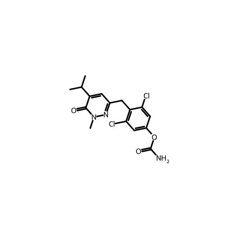 CC(C)c1cc(Cc2c(Cl)cc(OC(N)=O)cc2Cl)nn(C)c1=O